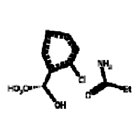 CCC(N)=O.O=C(O)[C@@H](O)c1ccccc1Cl